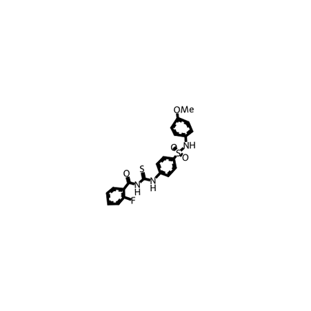 COc1ccc(NS(=O)(=O)c2ccc(NC(=S)NC(=O)c3ccccc3F)cc2)cc1